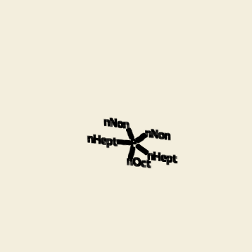 CCCCCCCCCP(CCCCCCC)(CCCCCCC)(CCCCCCCC)CCCCCCCCC